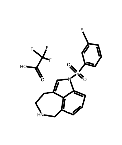 O=C(O)C(F)(F)F.O=S(=O)(c1cccc(F)c1)n1cc2c3c(cccc31)CNCC2